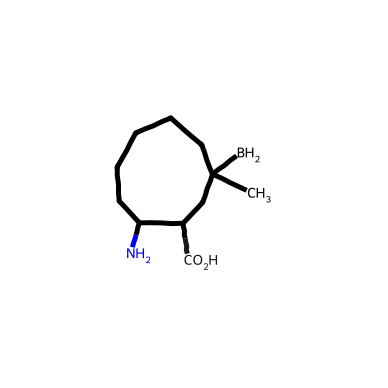 BC1(C)CCCCCC(N)C(C(=O)O)C1